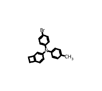 Cc1ccc(N(c2ccc(Br)cc2)c2ccc3c(c2)CC3)cc1